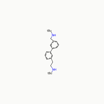 CC(C)(C)NCCc1cccc(-c2cccc(CNC(C)(C)C)c2)c1